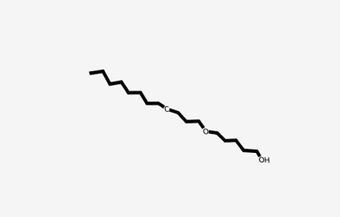 CCCCCCCCCCCCOCCCCCO